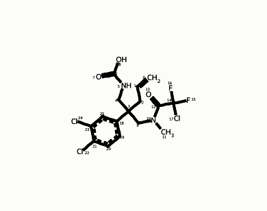 C=CCC(CNC(=O)O)(CN(C)C(=O)C(F)(F)Cl)c1ccc(Cl)c(Cl)c1